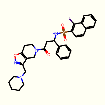 O=C(CC(NS(=O)(=O)c1ccc2ccccc2c1I)c1ccccc1)N1CCc2onc(CN3CCCCC3)c2C1